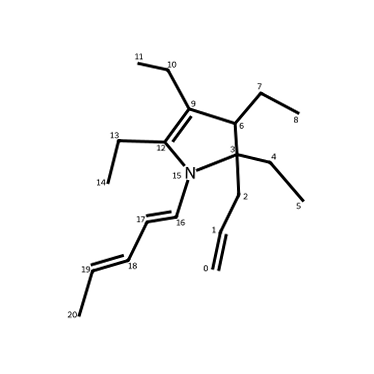 C=CCC1(CC)C(CC)C(CC)=C(CC)N1C=CC=CC